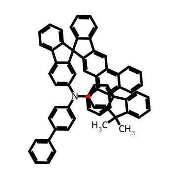 CC1(C)c2ccccc2-c2ccc(N(c3ccc(-c4ccccc4)cc3)c3ccc4c(c3)C3(c5ccccc5-4)c4ccccc4-c4cc5c6ccccc6c6ccccc6c5cc43)cc21